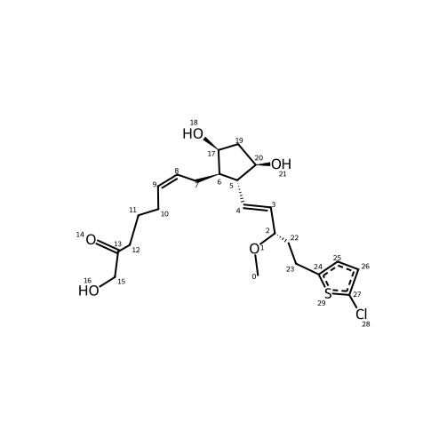 CO[C@H](/C=C/[C@@H]1[C@@H](C/C=C\CCCC(=O)CO)[C@@H](O)C[C@H]1O)CCc1ccc(Cl)s1